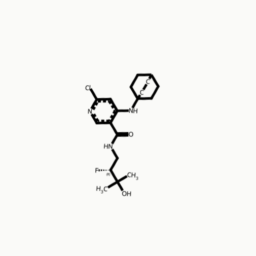 CC(C)(O)[C@H](F)CNC(=O)c1cnc(Cl)cc1NC12CCC(CC1)CC2